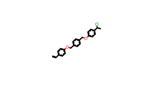 C=Cc1ccc(OCc2ccc(COc3ccc(C(C)Cl)cc3)cc2)cc1